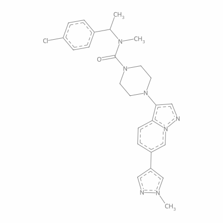 CC(c1ccc(Cl)cc1)N(C)C(=O)N1CCN(c2cnn3cc(-c4cnn(C)c4)ccc23)CC1